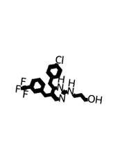 OCCCNC1=NC=C(Cc2cccc(C(F)(F)F)c2)C(Cc2ccc(Cl)cc2)N1